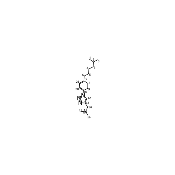 CC(C)CCCCc1ccc(-n2cc(CN(C)C)nn2)cc1